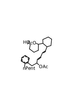 CCCCCc1ccccc1CC(/C=C/C=C/C1CCCCC1C(CCCCO)OC(C)=O)OC(C)=O